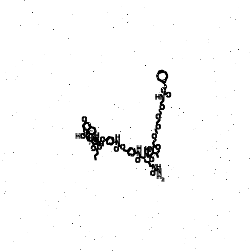 CCCC1O[C@@H]2C[C@H]3[C@@H]4CCC5=CC(=O)C=C[C@]5(C)[C@H]4[C@@H](O)C[C@]3(C)[C@]2(C(=O)COc2ccc(NC(=O)OCc3ccc(NC(=O)[C@H](CCCNC(N)=O)NC(=O)[C@@H](NC(=O)CCOCCOCCOCCOCCNC(=O)OCC4C5CCC#CCCC54)C(C)C)cc3)cc2)O1